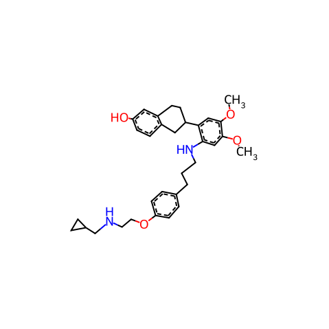 COc1cc(NCCCc2ccc(OCCNCC3CC3)cc2)c(C2CCc3cc(O)ccc3C2)cc1OC